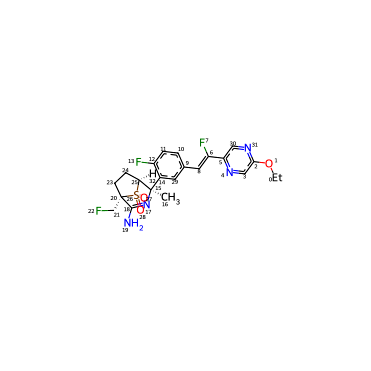 CCOc1cnc(/C(F)=C/c2ccc(F)c([C@@]3(C)N=C(N)[C@@]4(CF)CC[C@@H]3S4(=O)=O)c2)cn1